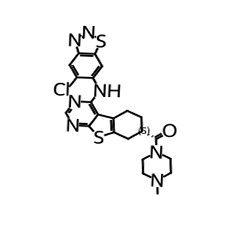 CN1CCN(C(=O)[C@H]2CCc3c(sc4ncnc(Nc5cc6snnc6cc5Cl)c34)C2)CC1